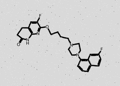 O=C1CCc2cc(F)c(OCCCCN3CCN(c4cccc5ccc(F)cc45)CC3)nc2N1